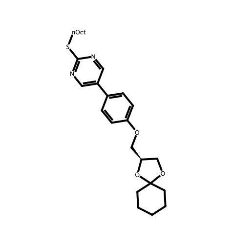 CCCCCCCCSc1ncc(-c2ccc(OC[C@H]3COC4(CCCCC4)O3)cc2)cn1